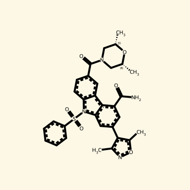 Cc1noc(C)c1-c1cc(C(N)=O)c2c3cc(C(=O)N4C[C@@H](C)O[C@@H](C)C4)ccc3n(S(=O)(=O)c3ccccc3)c2c1